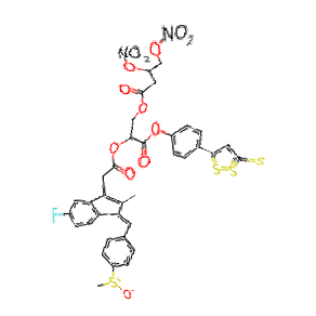 CC1=C(CC(=O)OC(COC(=O)CC(CO[N+](=O)[O-])O[N+](=O)[O-])C(=O)Oc2ccc(-c3cc(=S)ss3)cc2)c2cc(F)ccc2/C1=C\c1ccc([S+](C)[O-])cc1